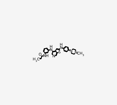 C=CC(=O)Nc1cccc(Nc2cncc3sc(Nc4ccc(N5CCN(C)CC5)cc4)cc23)c1